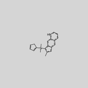 Cc1cc2cc3ccc[nH]c3cc2c1[Si](C)(C)C1=CC=CC1